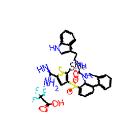 CSc1sc(C(=N)N)cc1S(=O)(=O)c1cccc(-c2ccccc2C)c1NC(=O)NCCc1c[nH]c2ccccc12.O=C(O)C(F)(F)F